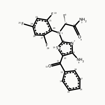 C[C@H](C(N)=O)N(c1nc(N)c(C(=O)c2ccccc2)s1)c1c(F)cc(F)cc1F